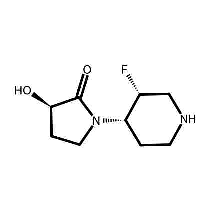 O=C1[C@H](O)CCN1[C@H]1CCNC[C@H]1F